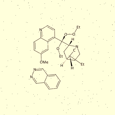 CCOO[C@@](OCC)(c1ccnc2ccc(OC)cc12)[C@H]1C[C@@H]2CCN1C[C@@H]2CC.c1ccc2cnncc2c1